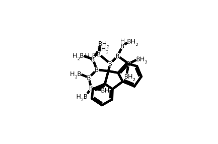 BBB(B(B)B)B(B(B)B)C1(B(B(B)B)B(B)B(B)B)c2ccccc2-c2ccccc21